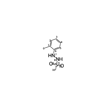 Cc1ccccc1NNS(C)(=O)=O